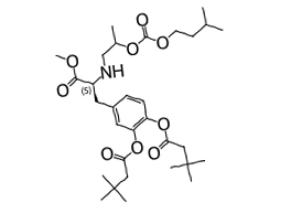 COC(=O)[C@H](Cc1ccc(OC(=O)CC(C)(C)C)c(OC(=O)CC(C)(C)C)c1)NCC(C)OC(=O)OCCC(C)C